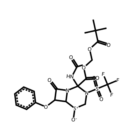 CC(=O)NC1(C(=O)OCOC(=O)C(C)(C)C)N2C(=O)C(Oc3ccccc3)C2[S+]([O-])CN1S(=O)(=O)C(F)(F)F